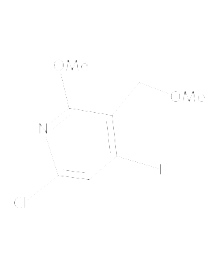 COCc1c(I)cc(Cl)nc1OC